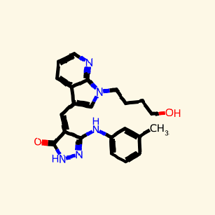 Cc1cccc(NC2=NNC(=O)C2=Cc2cn(CCCCO)c3ncccc23)c1